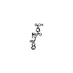 O=C(O)c1ccc(C(=O)NCC(O)CNC2Cc3ccccc3C2)cc1